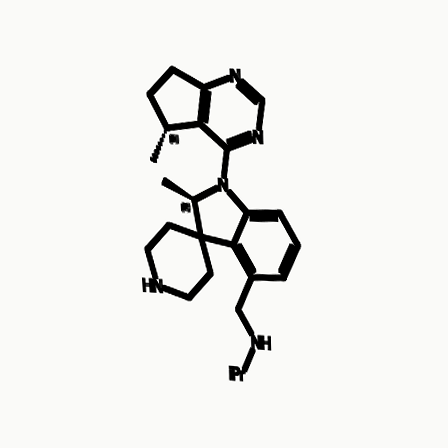 CC(C)NCc1cccc2c1C1(CCNCC1)[C@@H](C)N2c1ncnc2c1[C@H](C)CC2